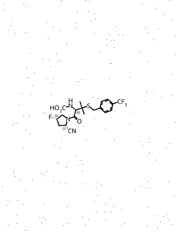 CC(C)(SCc1ccc(C(F)(F)F)cc1)[C@H](NC(=O)O)C(=O)N1C[C@@H](F)C[C@H]1C#N